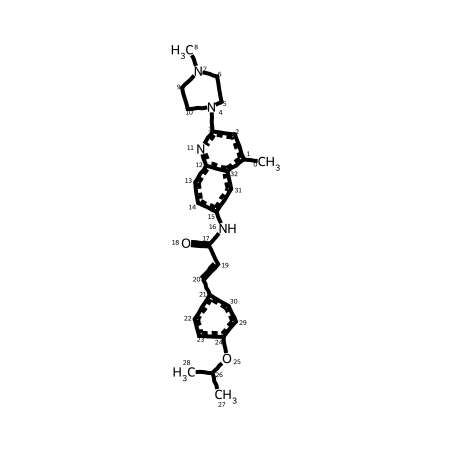 Cc1cc(N2CCN(C)CC2)nc2ccc(NC(=O)C=Cc3ccc(OC(C)C)cc3)cc12